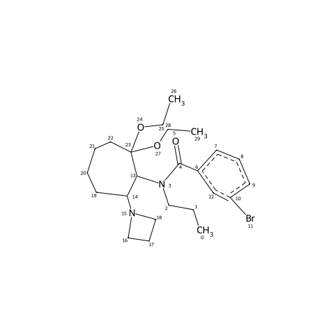 CCCN(C(=O)c1cccc(Br)c1)C1C(N2CCC2)CCCCC1(OCC)OCC